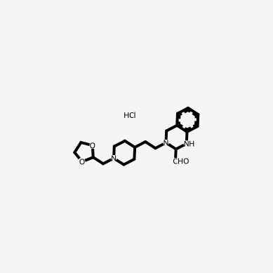 Cl.O=CC1Nc2ccccc2CN1CCC1CCN(CC2OCCO2)CC1